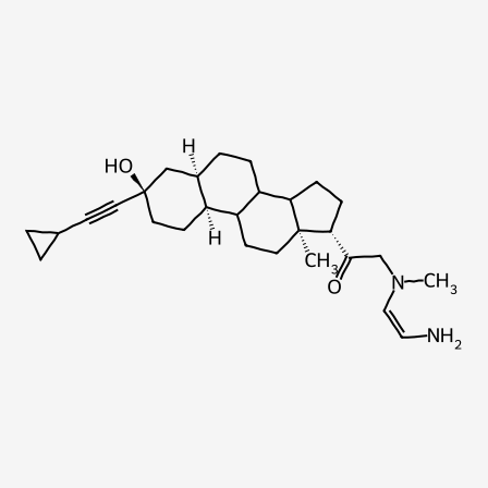 CN(/C=C\N)CC(=O)[C@H]1CCC2C3CC[C@@H]4C[C@@](O)(C#CC5CC5)CC[C@@H]4C3CC[C@@]21C